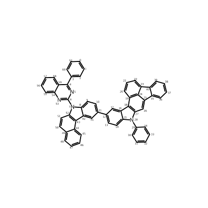 c1ccc(-c2nc(-n3c4ccc(-c5ccc6c(c5)c5c7cccc8c7c(cc5n6-c5ccccc5)-c5ccccc5-8)cc4c4c5ccccc5ccc43)nc3ccccc23)cc1